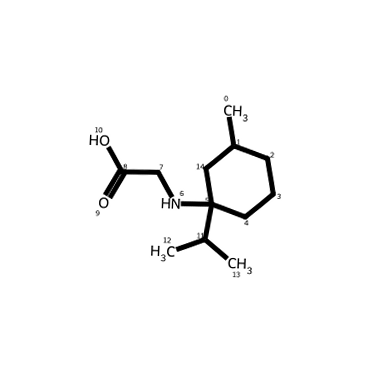 CC1CCCC(NCC(=O)O)(C(C)C)C1